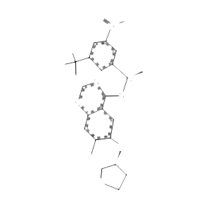 C[C@@H](Nc1ncnc2cc(Br)c(O[C@H]3CCOC3)cc12)c1cc([N+](=O)[O-])cc(C(F)(F)F)c1